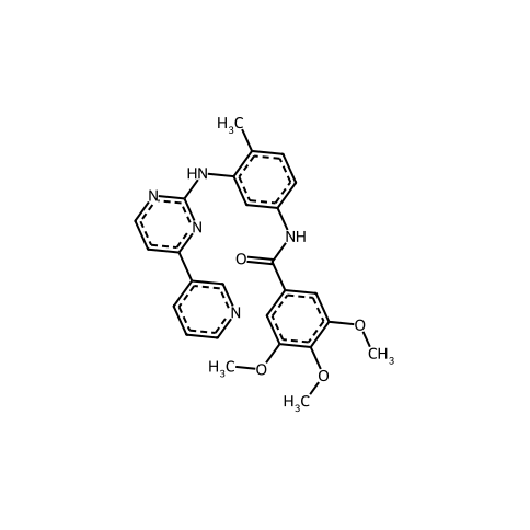 COc1cc(C(=O)Nc2ccc(C)c(Nc3nccc(-c4cccnc4)n3)c2)cc(OC)c1OC